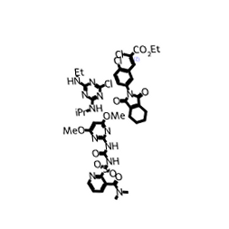 CCNc1nc(Cl)nc(NC(C)C)n1.CCOC(=O)/C(Cl)=C/c1cc(N2C(=O)C3=C(CCCC3)C2=O)ccc1Cl.COc1cc(OC)nc(NC(=O)NS(=O)(=O)c2ncccc2C(=O)N(C)C)n1